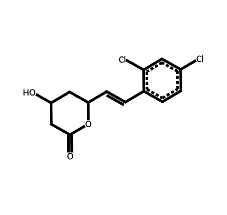 O=C1CC(O)CC(C=Cc2ccc(Cl)cc2Cl)O1